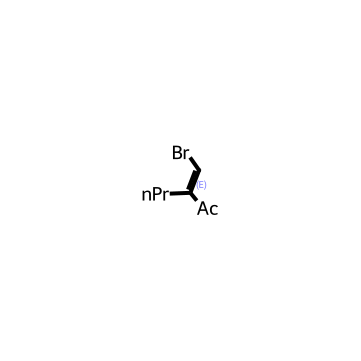 CCC/C(=C\Br)C(C)=O